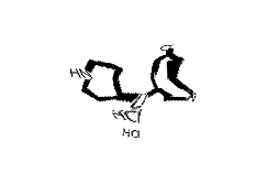 Cl.Cl.Clc1cncc(OC2CCNCC2)c1